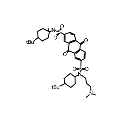 CN(C)CCCN(C1CCC(C(C)(C)C)CC1)S(=O)(=O)c1ccc2c(c1)C(=O)c1cc(S(=O)(=O)NC3CCC(C(C)(C)C)CC3)ccc1C2=O